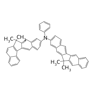 CC1(C)c2cc3ccccc3cc2-c2cc3ccc(N(c4ccccc4)c4ccc5cc6c(cc5c4)C(C)(C)c4ccc5ccccc5c4-6)cc3cc21